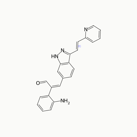 Nc1ccccc1C(C=O)=Cc1ccc2c(/C=C/c3ccccn3)n[nH]c2c1